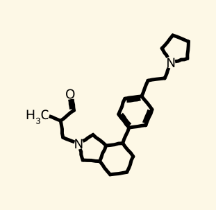 CC(C=O)CN1CC2CCCC(c3ccc(CCN4CCCC4)cc3)C2C1